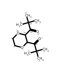 CC(C)(C)C(=O)C1OCCOC1C(=O)C(C)(C)C